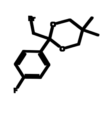 CC1(C)COC(CBr)(c2ccc(F)cc2)OC1